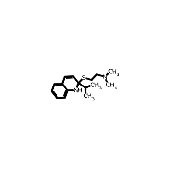 CC(C)C1(SCCN(C)C)C=Cc2ccccc2N1